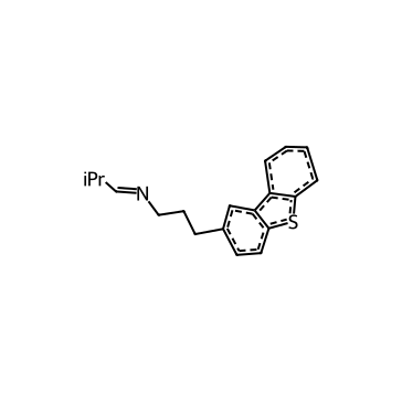 CC(C)C=NCCCc1ccc2sc3ccccc3c2c1